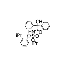 CC(C)c1cccc(C(C)C)c1OS(=O)(=O)NC(=O)C(C)(c1ccccc1)c1ccccc1